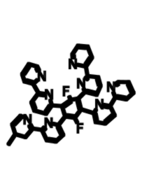 CC1C=CN=C(c2cccc(-c3c(F)c(-c4cccc(-c5ccccn5)n4)c(-c4cccc(-c5ccccn5)n4)c(F)c3-c3cccc(-c4ccccn4)n3)n2)C1